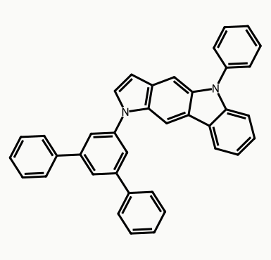 c1ccc(-c2cc(-c3ccccc3)cc(-n3ccc4cc5c(cc43)c3ccccc3n5-c3ccccc3)c2)cc1